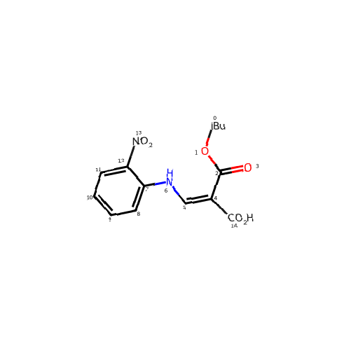 CCC(C)OC(=O)C(=CNc1ccccc1[N+](=O)[O-])C(=O)O